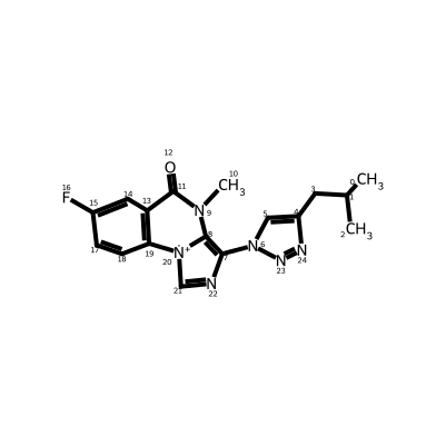 CC(C)Cc1cn(C2=C3N(C)C(=O)c4cc(F)ccc4[N+]3C=N2)nn1